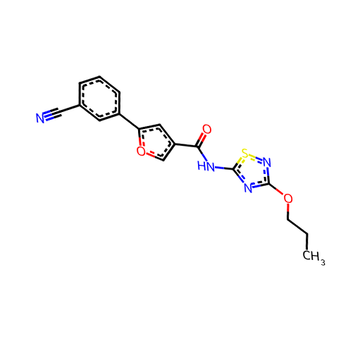 CCCOc1nsc(NC(=O)c2coc(-c3cccc(C#N)c3)c2)n1